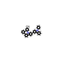 N#Cc1ccc2c(c1)-c1ccccc1-c1cccc3c4ccc(-c5ccc6c(c5)c5ccccc5n6-c5ccccc5)cc4n-2c13